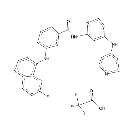 O=C(Nc1cc(Nc2ccncc2)ccn1)c1cccc(Nc2ccnc3ccc(F)cc23)c1.O=C(O)C(F)(F)F